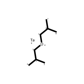 CC(C)COCC(C)C.[Ta]